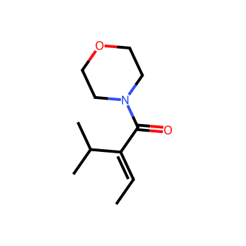 C/C=C(/C(=O)N1CCOCC1)C(C)C